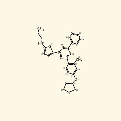 CCCNc1ncc(-c2cc(-c3ccc(OC4CCCC4)cc3C)nc(-c3cnccn3)n2)s1